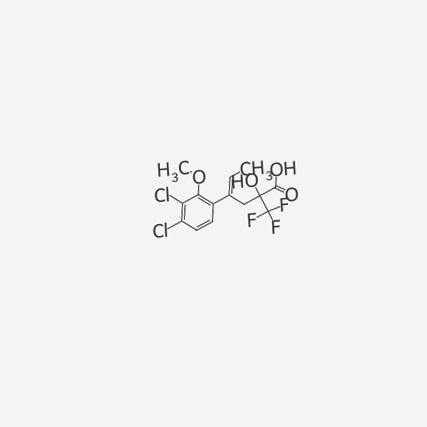 CC=C(CC(O)(C(=O)O)C(F)(F)F)c1ccc(Cl)c(Cl)c1OC